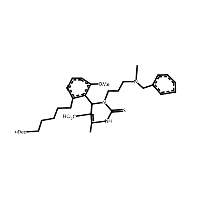 CCCCCCCCCCCCCCCc1cccc(OC)c1C1C(C(=O)O)=C(C)NC(=S)N1CCCN(C)Cc1ccccc1